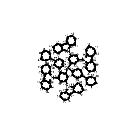 c1ccc(-c2ccc([Si](c3ccc(-c4ccccc4)cc3)(c3cc(-n4c5ccccc5c5ccccc54)cc(-n4c5ccccc5c5ccccc54)c3)c3cc(-n4c5ccccc5c5ccccc54)cc(-n4c5ccccc5c5ccccc54)c3)cc2)cc1